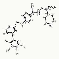 Cc1c(-c2cc(COc3ccc(C(=O)NCC(C(=O)O)N4CCOCC4)cc3)ccn2)cc(F)c(F)c1F